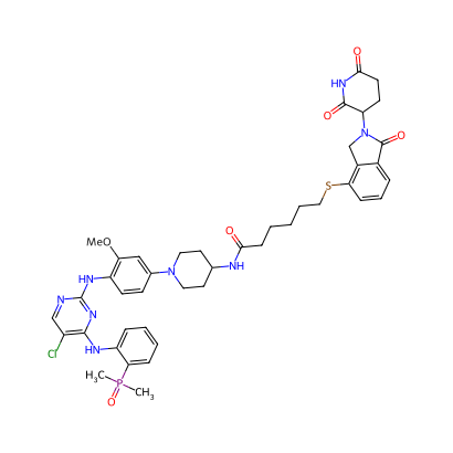 COc1cc(N2CCC(NC(=O)CCCCCSc3cccc4c3CN(C3CCC(=O)NC3=O)C4=O)CC2)ccc1Nc1ncc(Cl)c(Nc2ccccc2P(C)(C)=O)n1